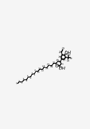 CCCCCCCCCCCCCCCCCCCCC(CC(=O)O)c1cc(CC)c(O)c(C(C)(C)C)c1